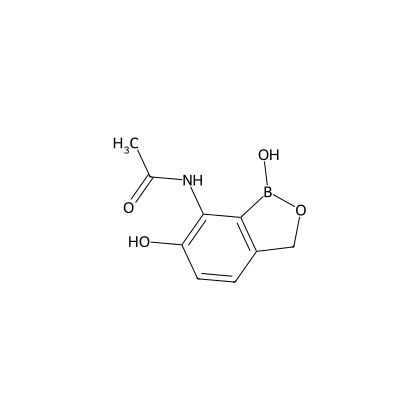 CC(=O)Nc1c(O)ccc2c1B(O)OC2